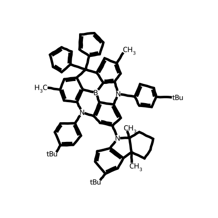 Cc1cc2c3c(c1)C(c1ccccc1)(c1ccccc1)c1cc(C)cc4c1B3c1c(cc(N3c5ccc(C(C)(C)C)cc5C5(C)CCCCC35C)cc1N4c1ccc(C(C)(C)C)cc1)N2c1ccc(C(C)(C)C)cc1